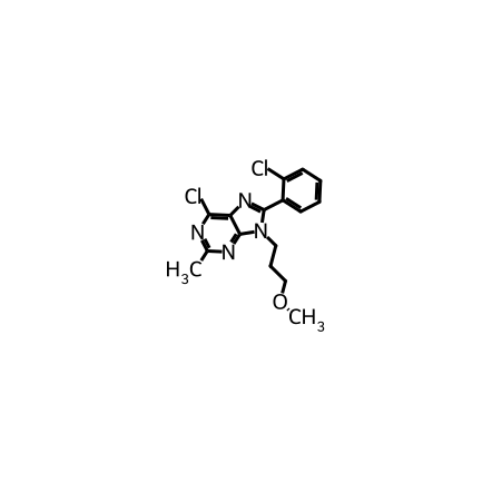 COCCCn1c(-c2ccccc2Cl)nc2c(Cl)nc(C)nc21